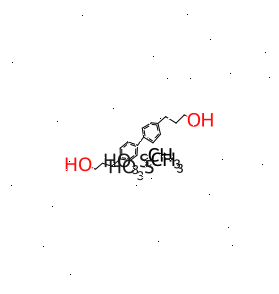 CS(=O)(=O)O.CS(=O)(=O)O.OCCCc1ccc(-c2ccc(CCCO)cc2)cc1